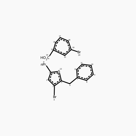 CCCc1cc(Br)c(Cc2ccccc2)s1.O=C(O)c1cccc(Br)c1